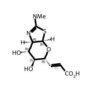 CNC1=N[C@@H]2[C@@H](O)[C@H](O)[C@@H](/C=C/C(=O)O)O[C@@H]2S1